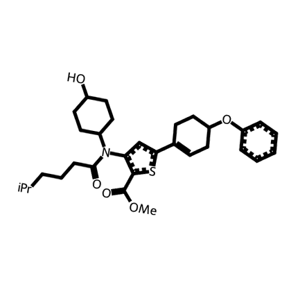 COC(=O)c1sc(C2=CCC(Oc3ccccc3)CC2)cc1N(C(=O)CCCC(C)C)C1CCC(O)CC1